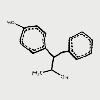 CC(O)C(c1ccccc1)c1ccc(O)cc1